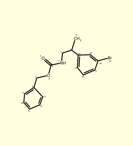 CC(CNC(=O)OCc1ccccc1)c1cccc(Br)c1